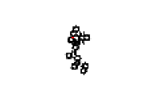 c1ccc2c(-c3nc4ccccc4nc3-n3c4ccccc4c4cc(-n5c6ccccc6c6c7c8ccccc8n(-c8cccc9ccccc89)c7ccc65)ccc43)cccc2c1